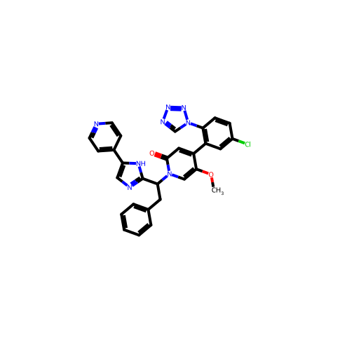 COc1cn(C(Cc2ccccc2)c2ncc(-c3ccncc3)[nH]2)c(=O)cc1-c1cc(Cl)ccc1-n1cnnn1